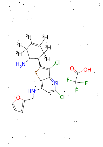 O=C(O)C(F)(F)F.[2H]C1=C([2H])C([2H])([2H])[C@@H](c2sc3c(NCc4ccco4)cc(Cl)nc3c2Cl)[C@H](N)C1([2H])[2H]